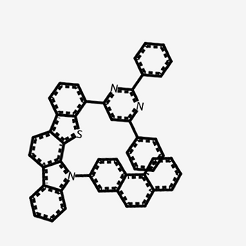 c1ccc(-c2cc(-c3cccc4c3sc3c4ccc4c5ccccc5n(-c5ccc6c(ccc7ccccc76)c5)c43)nc(-c3ccccc3)n2)cc1